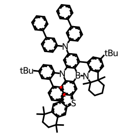 CC(C)(C)c1ccc(N2c3cc4c(cc3B3c5c(cc(N(c6cccc(-c7ccccc7)c6)c6cccc(-c7ccccc7)c6)cc52)-c2cc(C(C)(C)C)cc5c2N3C2(C)CCCCC52C)sc2cc3c(cc24)C(C)(C)CCC3(C)C)c(-c2ccccc2)c1